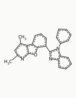 Cc1cc(C)c2c(n1)oc1c(-c3nc4ccccc4n3-c3ccccc3)cccc12